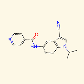 CC(C)n1cc(C#N)c2cc(NC(=O)c3ccncc3)ccc21